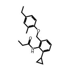 CCC(=O)Nc1c(COc2ccc(CC)cc2C)cccc1C1CC1